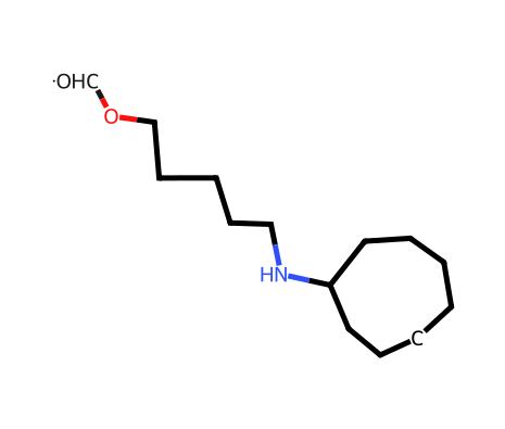 O=[C]OCCCCCNC1CCCCCCC1